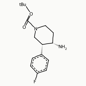 CC(C)(C)OC(=O)N1CC[C@H](N)[C@H](c2ccc(F)cc2)C1